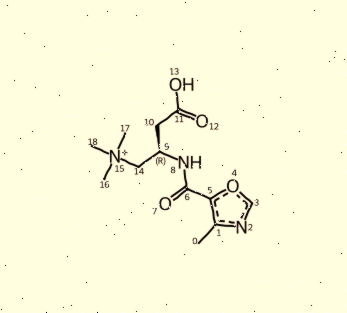 Cc1ncoc1C(=O)N[C@H](CC(=O)O)C[N+](C)(C)C